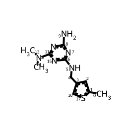 Cc1cc(CNc2nc(N)nc(N(C)C)n2)cs1